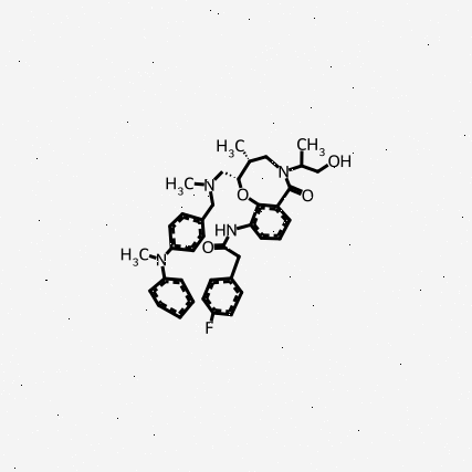 CC(CO)N1C[C@@H](C)[C@@H](CN(C)Cc2ccc(N(C)c3ccccc3)cc2)Oc2c(NC(=O)Cc3ccc(F)cc3)cccc2C1=O